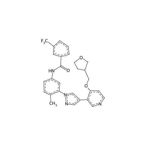 Cc1ccc(NC(=O)c2cccc(C(F)(F)F)c2)cc1-n1cc(-c2cnccc2OCC2CCOC2)cn1